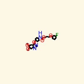 COc1cc2ncnc(Oc3ccc(NC(=O)OCCCOc4cccc(F)c4)cc3)c2cc1OC